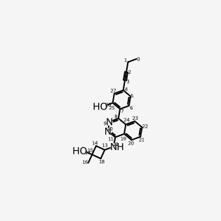 CCC#Cc1ccc(-c2nnc(NC3CC(C)(O)C3)c3ccccc23)c(O)c1